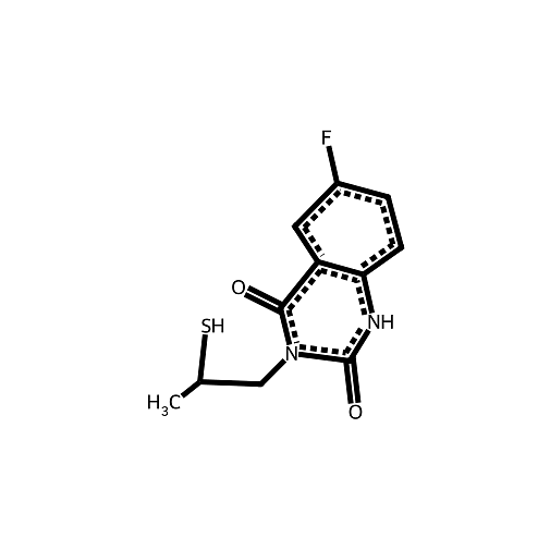 CC(S)Cn1c(=O)[nH]c2ccc(F)cc2c1=O